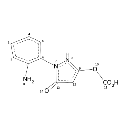 Nc1ccccc1-n1[nH]c(OC(=O)O)cc1=O